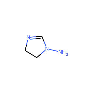 NN1C=NCC1